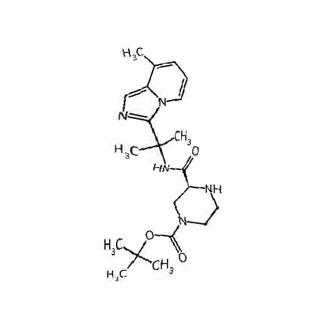 Cc1cccn2c(C(C)(C)NC(=O)[C@@H]3CN(C(=O)OC(C)(C)C)CCN3)ncc12